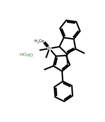 CC1=[C]([Zr]([CH3])([CH3])(=[GeH2])[CH]2C(C)=C(C)c3ccccc32)C(C)C=C1c1ccccc1.Cl.Cl